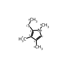 CSc1c(C)c(C)cn1C